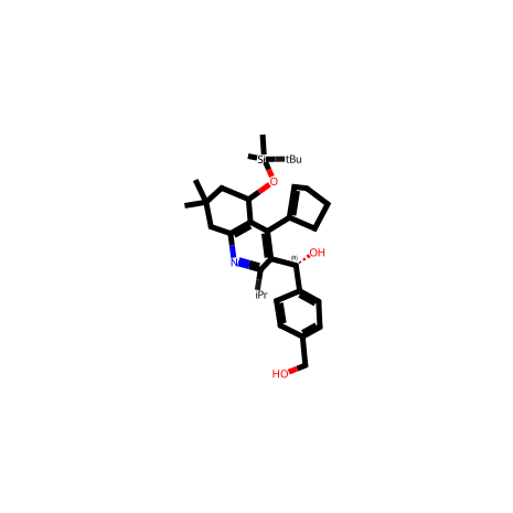 CC(C)c1nc2c(c(C3=CCCC3)c1[C@H](O)c1ccc(CO)cc1)C(O[Si](C)(C)C(C)(C)C)CC(C)(C)C2